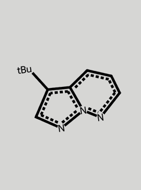 CC(C)(C)c1cnn2ncccc12